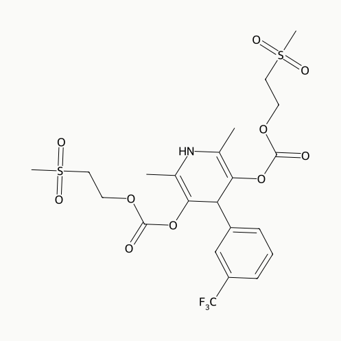 CC1=C(OC(=O)OCCS(C)(=O)=O)C(c2cccc(C(F)(F)F)c2)C(OC(=O)OCCS(C)(=O)=O)=C(C)N1